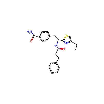 CCc1csc(C(Cc2ccc(C(N)=O)cc2)NC(=O)CCc2ccccc2)n1